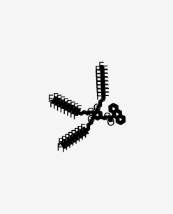 O=C(OCc1cc(OCCCC(F)(F)C(F)(F)C(F)(F)C(F)(F)C(F)(F)C(F)(F)C(F)(F)C(F)(F)F)c(OCCCC(F)(F)C(F)(F)C(F)(F)C(F)(F)C(F)(F)C(F)(F)C(F)(F)C(F)(F)F)c(OCCCC(F)(F)C(F)(F)C(F)(F)C(F)(F)C(F)(F)C(F)(F)C(F)(F)C(F)(F)F)c1)c1c2ccccc2cc2ccccc12